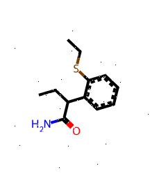 CCSc1ccccc1C(CC)C(N)=O